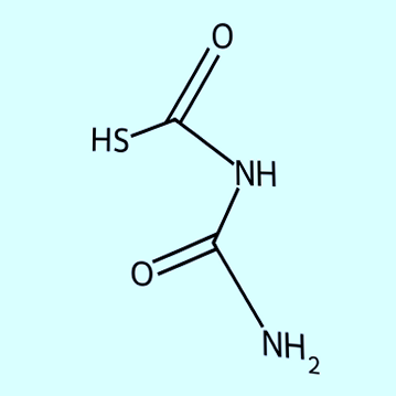 NC(=O)NC(=O)S